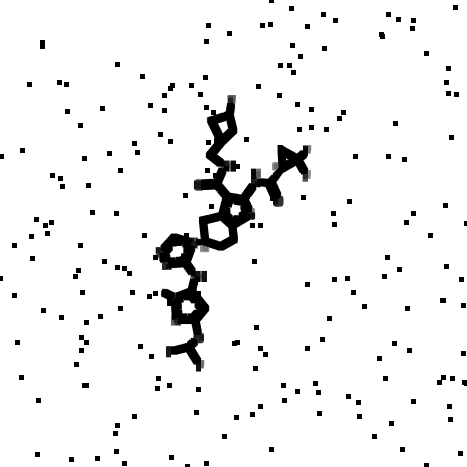 Cn1nc(OC(F)F)cc1Nc1nncn1[C@H]1CCc2sc(NC(=O)[C@H]3CC3(F)F)c(C(=O)NCC3CC(F)C3)c2C1